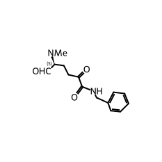 CN[C@H](C=O)CCC(=O)C(=O)NCc1ccccc1